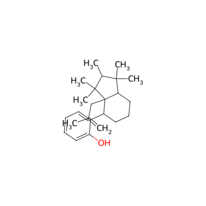 C=C(C)CC12C(c3ccccc3O)CCCC1C(C)(C)C(C)C2(C)C